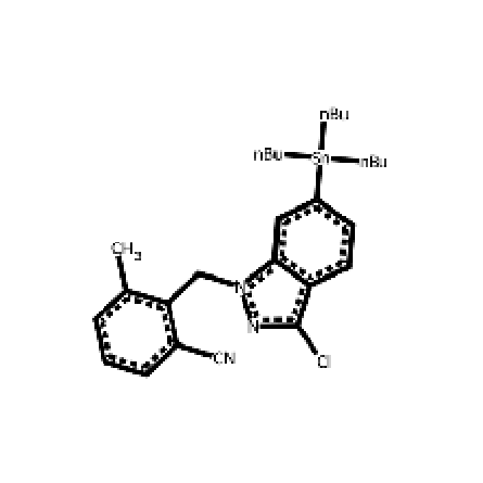 CCC[CH2][Sn]([CH2]CCC)([CH2]CCC)[c]1ccc2c(Cl)nn(Cc3c(C)cccc3C#N)c2c1